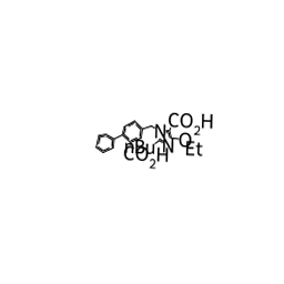 CCCCc1nc(OCC)c(C(=O)O)n1Cc1ccc(-c2ccccc2)c(C(=O)O)c1